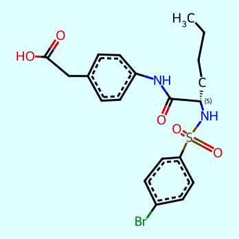 CCCC[C@H](NS(=O)(=O)c1ccc(Br)cc1)C(=O)Nc1ccc(CC(=O)O)cc1